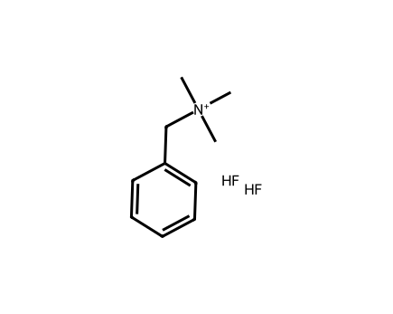 C[N+](C)(C)Cc1ccccc1.F.F